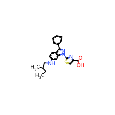 CCC(C)CNc1ccc2c(-c3ccccc3)nn(-c3nc(C(=O)O)cs3)c2c1